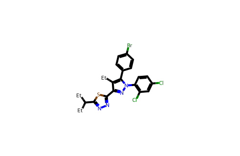 CCc1c(-c2nnc(C(CC)CC)s2)nn(-c2ccc(Cl)cc2Cl)c1-c1ccc(Br)cc1